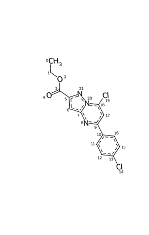 CCOC(=O)c1cc2nc(-c3ccc(Cl)cc3)cc(Cl)n2n1